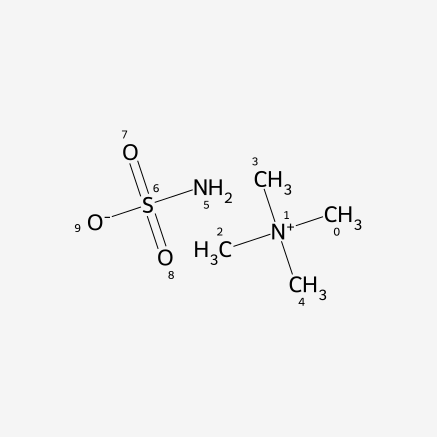 C[N+](C)(C)C.NS(=O)(=O)[O-]